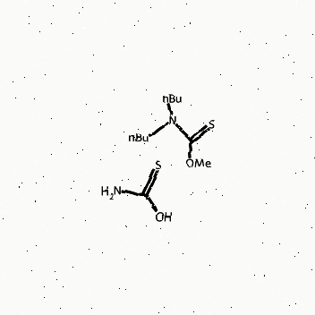 CCCCN(CCCC)C(=S)OC.NC(O)=S